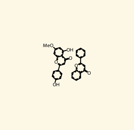 COc1cc(O)c2c(=O)cc(-c3ccc(O)cc3)oc2c1.O=c1cc(-c2ccccc2)oc2ccccc12